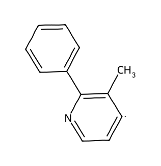 Cc1[c]ccnc1-c1ccccc1